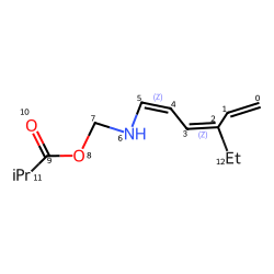 C=C/C(=C\C=C/NCOC(=O)C(C)C)CC